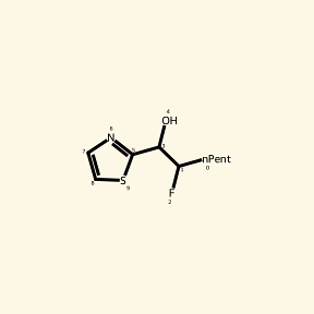 CCCCCC(F)C(O)c1nccs1